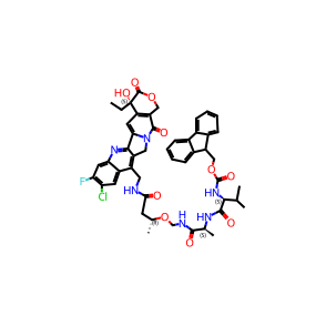 CC[C@@]1(O)C(=O)OCc2c1cc1n(c2=O)Cc2c-1nc1cc(F)c(Cl)cc1c2CNC(=O)C[C@@H](C)OCNC(=O)[C@H](C)NC(=O)[C@@H](NC(=O)OCC1c2ccccc2-c2ccccc21)C(C)C